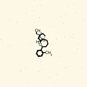 CC[C@]12CC[C@@]3(CCCC(c4ccccc4C)O[C@H]3C1)O2